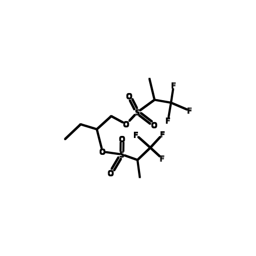 CCC(COS(=O)(=O)C(C)C(F)(F)F)OS(=O)(=O)C(C)C(F)(F)F